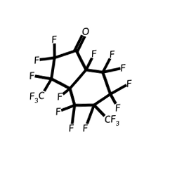 O=C1C(F)(F)C(F)(C(F)(F)F)C2(F)C(F)(F)C(F)(C(F)(F)F)C(F)(F)C(F)(F)C12F